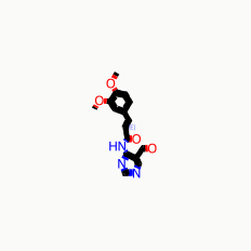 COc1ccc(/C=C/C(=O)Nc2ncncc2C=O)cc1OC